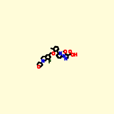 COc1c(C(=O)O)cnn1-c1cccc(-c2cccc(C)c2OCc2cc(F)c3c(c2)CCN(C2CCOCC2)C3)n1